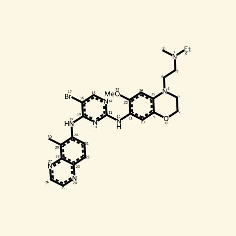 CCN(C)CCN1CCOc2cc(Nc3ncc(Br)c(Nc4ccc5nccnc5c4C)n3)c(OC)cc21